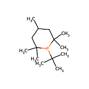 CC1CC(C)(C)P(C(C)(C)C)C(C)(C)C1